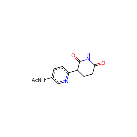 CC(=O)Nc1ccc(C2CCC(=O)NC2=O)nc1